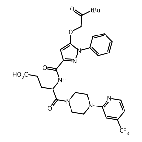 CC(C)(C)C(=O)COc1cc(C(=O)NC(CCC(=O)O)C(=O)N2CCN(c3cc(C(F)(F)F)ccn3)CC2)nn1-c1ccccc1